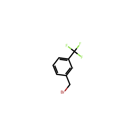 FC(F)(F)c1[c]c(CBr)ccc1